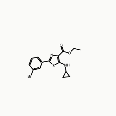 CCOC(=O)c1nc(-c2cccc(Br)c2)sc1NC1CC1